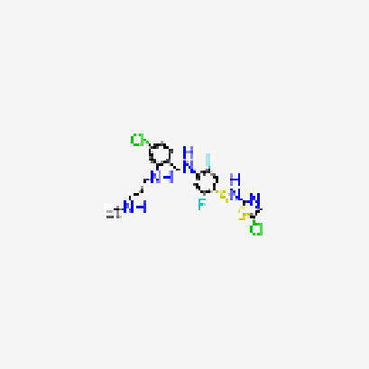 CCNCCCNc1cc(Cl)ccc1CNc1cc(F)c(SNc2ncc(Cl)s2)cc1F